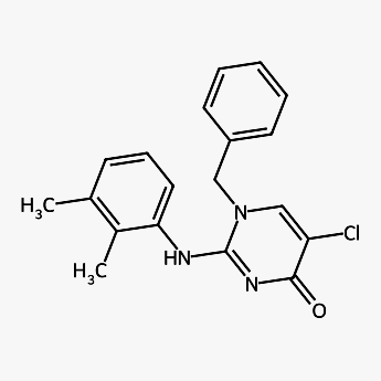 Cc1cccc(Nc2nc(=O)c(Cl)cn2Cc2ccccc2)c1C